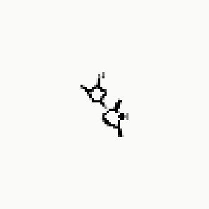 C=C1C=CN(C2CC(C)C(CC)C2)C(=C)N1